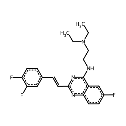 CCN(CC)CCNc1nc(/C=C/c2ccc(F)c(F)c2)nc2ccc(F)cc12